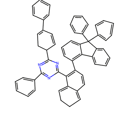 C1=CC(c2nc(-c3ccccc3)nc(-c3c(-c4cccc5c4-c4ccccc4C5(c4ccccc4)c4ccccc4)ccc4c3=CCCC=4)n2)CC=C1c1ccccc1